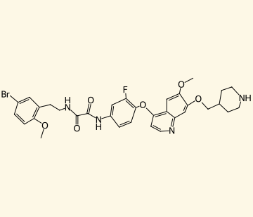 COc1ccc(Br)cc1CCNC(=O)C(=O)Nc1ccc(Oc2ccnc3cc(OCC4CCNCC4)c(OC)cc23)c(F)c1